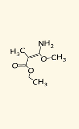 CCOC(=O)C(C)=C(N)OC